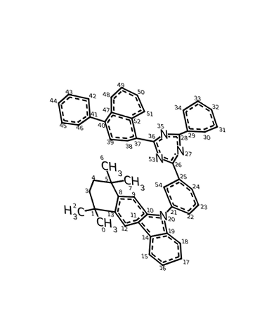 CC1(C)CCC(C)(C)c2cc3c(cc21)c1ccccc1n3-c1cccc(-c2nc(-c3ccccc3)nc(-c3ccc(-c4ccccc4)c4ccccc34)n2)c1